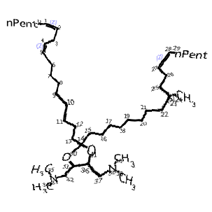 CCCCC/C=C\C/C=C\CCCCCCCCC1(CCCCCCCC[C@H](C)CC/C=C\CCCCC)OC(CN(C)C)C(CN(C)C)O1